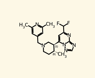 Cc1cc(CN2CC[C@@H](C)[C@H](c3cc(C(F)F)nc4ncnn34)C2)cc(C)n1